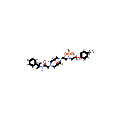 CC(C)(NC(=O)CN1CC2CN(CCN(CCOc3ccc(C#N)cc3)S(C)(=O)=O)CC(C1)O2)c1ccccc1